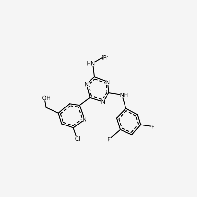 CC(C)Nc1nc(Nc2cc(F)cc(F)c2)nc(-c2cc(CO)cc(Cl)n2)n1